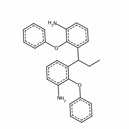 CCC(c1cccc(N)c1Oc1ccccc1)c1cccc(N)c1Oc1ccccc1